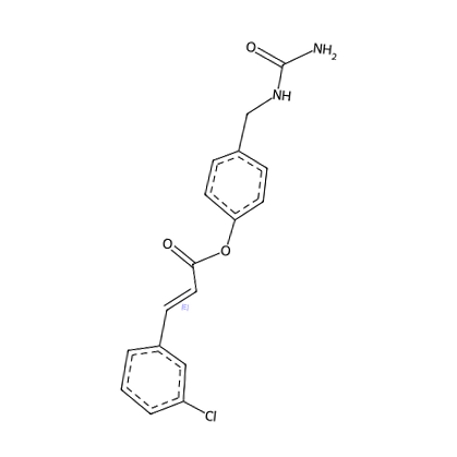 NC(=O)NCc1ccc(OC(=O)/C=C/c2cccc(Cl)c2)cc1